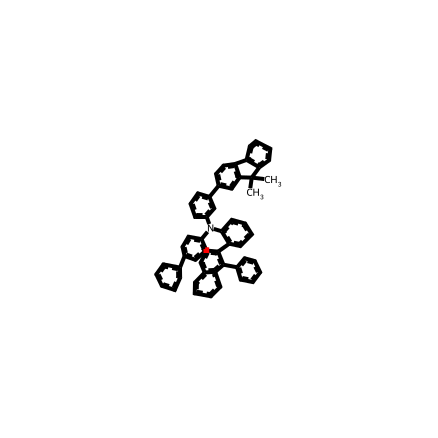 CC1(C)c2ccccc2-c2ccc(-c3cccc(N(c4ccc(-c5ccccc5)cc4)c4ccccc4-c4ccc5ccccc5c4-c4ccccc4)c3)cc21